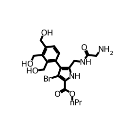 CCCOC(=O)c1[nH]c(CNC(=O)CN)c(-c2ccc(CO)c(CO)c2CO)c1Br